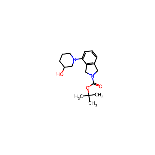 CC(C)(C)OC(=O)N1Cc2cccc(N3CCCC(O)C3)c2C1